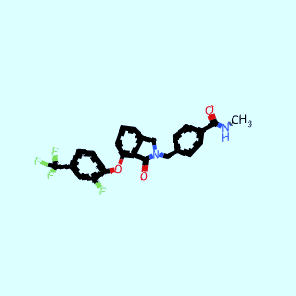 CNC(=O)c1ccc(CN2Cc3cccc(Oc4ccc(C(F)(F)F)cc4F)c3C2=O)cc1